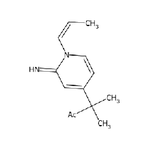 C/C=C\n1ccc(C(C)(C)C(C)=O)cc1=N